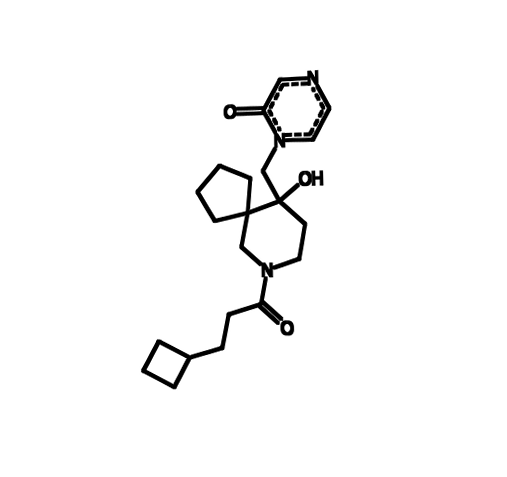 O=C(CCC1CCC1)N1CCC(O)(Cn2ccncc2=O)C2(CCCC2)C1